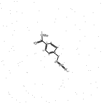 COC(=O)c1ccc(CN=[N+]=[N-])cc1